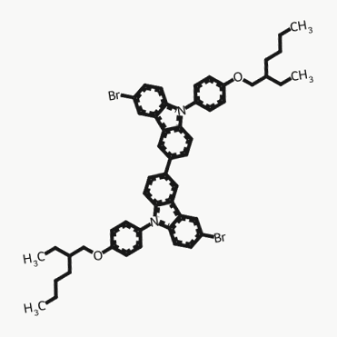 CCCCC(CC)COc1ccc(-n2c3ccc(Br)cc3c3cc(-c4ccc5c(c4)c4cc(Br)ccc4n5-c4ccc(OCC(CC)CCCC)cc4)ccc32)cc1